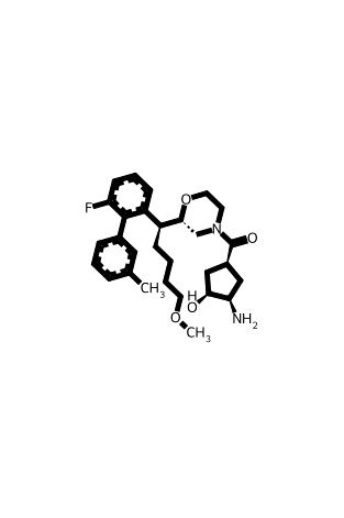 COCCCC[C@@H](c1cccc(F)c1-c1cccc(C)c1)[C@H]1CN(C(=O)[C@H]2C[C@@H](N)[C@@H](O)C2)CCO1